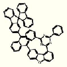 c1ccc(-c2nc(-c3ccccc3)nc(-c3cccc4oc5ccc(-c6ccc(-c7ccc8c(c7)C7(c9ccccc9-c9ccccc97)c7ccccc7-8)c7ccccc67)cc5c34)n2)cc1